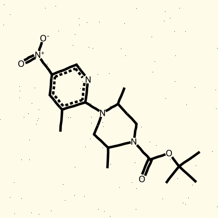 Cc1cc([N+](=O)[O-])cnc1N1CC(C)N(C(=O)OC(C)(C)C)CC1C